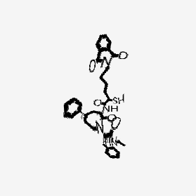 CCNC(=O)[C@H](Cc1ccccc1)N1CC[C@H](c2ccccc2)C[C@H](NC(=O)C(S)CCCCN2C(=O)c3ccccc3C2=O)C1=O